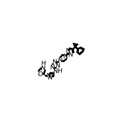 c1ccc(C2(c3cnc(N4CCN(c5ncnc(Nc6cnn(C[C@@H]7CNCCO7)c6)n5)CC4)nc3)CC2)cc1